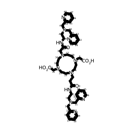 O=C(O)CN1CCN(CCC(=O)NCCN(Cc2ccccn2)Cc2ccccn2)CCN(CC(=O)O)CCN(CC(=O)NCCN(Cc2ccccn2)Cc2ccccn2)CC1